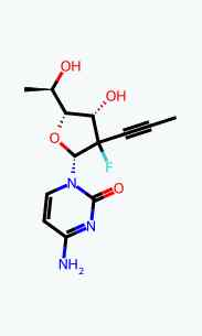 CC#CC1(F)[C@@H](O)[C@@H]([C@@H](C)O)O[C@H]1n1ccc(N)nc1=O